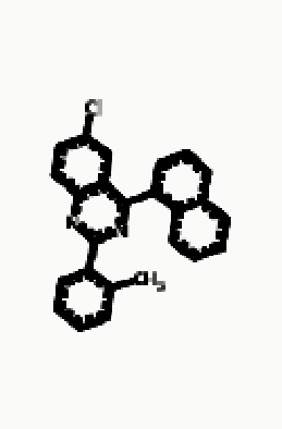 Cc1ccccc1-c1nc(-c2cccc3ccccc23)c2cc(Cl)ccc2n1